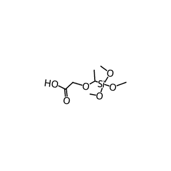 CO[Si](OC)(OC)C(C)OCC(=O)O